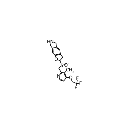 Cc1c(OCC(F)(F)F)ccnc1C[S+]([O-])C1Cc2cc3c(cc2O1)CNC3